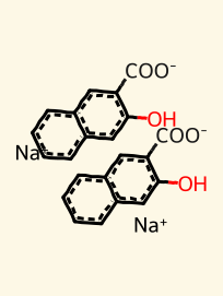 O=C([O-])c1cc2ccccc2cc1O.O=C([O-])c1cc2ccccc2cc1O.[Na+].[Na+]